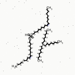 CCCCCCCC/C=C\CCCCCCCCOP(=O)(O)OCCCCCCCC/C=C\CCCCCCCC.CCCCCCCCN(CCCCCCCC)CCCCCCCC